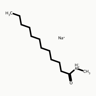 CCCCCCCCCCC[C](=O)[AlH2-][CH3].[Na+]